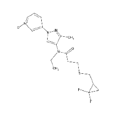 CCN(C(=O)CCSCC1CC1(F)F)c1cn(-c2ccc[n+]([O-])c2)nc1C